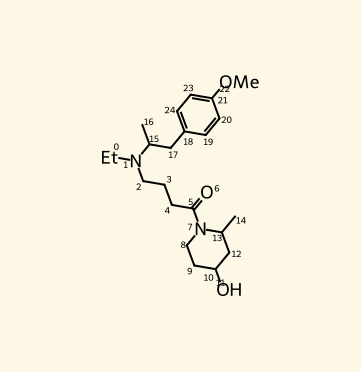 CCN(CCCC(=O)N1CCC(O)CC1C)C(C)Cc1ccc(OC)cc1